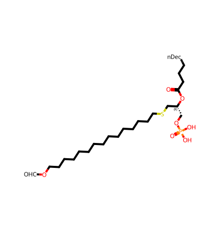 CCCCCCCCCCCCCC(=O)O[C@H](COP(=O)(O)O)CSCCCCCCCCCCCCCCCOC=O